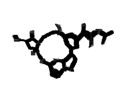 CO[C@@H]1C[C@H]2COc3ccn4ncc(c4n3)-c3cc(cc(C(=O)NOC(C)C)c3)NCCN2C1=O